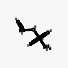 NS(=O)(=O)O[SH]=O